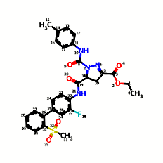 CCOC(=O)C1=NN(C(=O)Nc2ccc(C)cc2)C(C(=O)Nc2ccc(-c3ccccc3S(C)(=O)=O)cc2F)C1